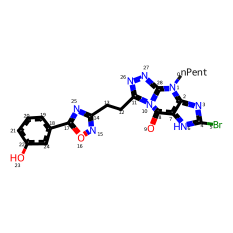 CCCCCn1c2nc(Br)[nH]c2c(=O)n2c(CCc3noc(-c4cccc(O)c4)n3)nnc12